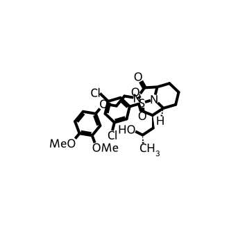 COc1ccc(OCCN2C[C@H](C[C@H](C)O)[C@@H]3CCCC(C2=O)N3S(=O)(=O)c2cc(Cl)cc(Cl)c2)cc1OC